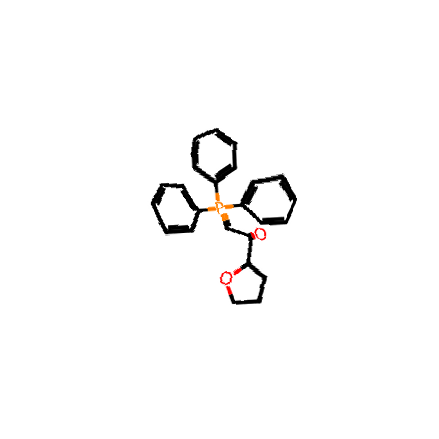 O=C(C=P(c1ccccc1)(c1ccccc1)c1ccccc1)C1CCCO1